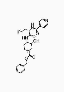 CC(C)C[C@H](NC(=O)c1ccncc1)C(=O)NC1CCN(C(=O)OCc2ccccc2)CC1O